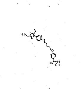 CCc1sc(CN)nc1-c1ccc(OCCCCCOc2ccc(C(=N)NO)cc2)cc1